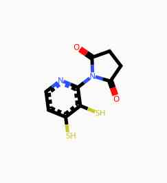 O=C1CCC(=O)N1c1nccc(S)c1S